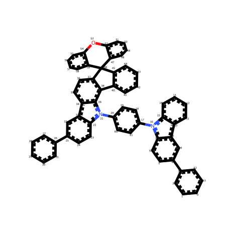 c1ccc(-c2ccc3c(c2)c2ccccc2n3-c2ccc(-n3c4ccc(-c5ccccc5)cc4c4ccc5c(c43)-c3ccccc3C53c4ccccc4Oc4ccccc43)cc2)cc1